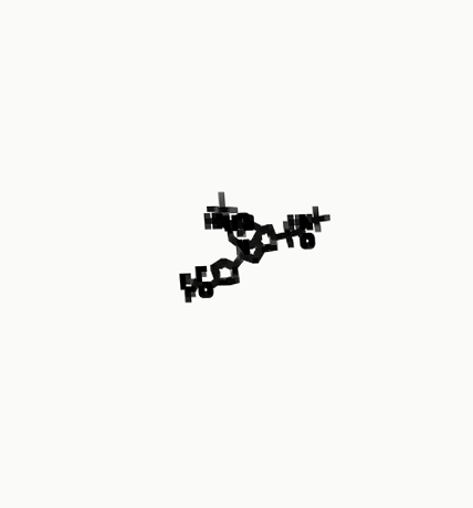 Bc1cc(C(C)(C)C(=O)NC(C)(C)C)cc2cc(-c3ccc(OC(F)(F)F)cc3)n(CC(=O)NC(C)(C)C)c12